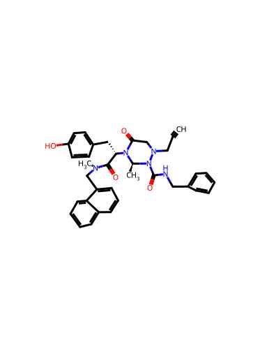 C#CCN1CC(=O)N([C@@H](Cc2ccc(O)cc2)C(=O)N(C)Cc2cccc3ccccc23)[C@H](C)N1C(=O)NCc1ccccc1